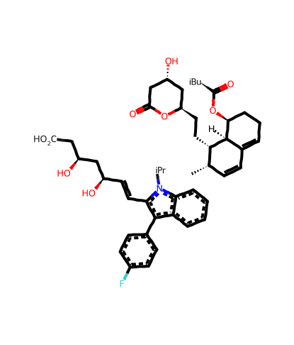 CC(C)n1c(/C=C/[C@@H](O)C[C@@H](O)CC(=O)O)c(-c2ccc(F)cc2)c2ccccc21.CC[C@H](C)C(=O)O[C@H]1CCC=C2C=C[C@H](C)[C@H](CC[C@@H]3C[C@@H](O)CC(=O)O3)[C@H]21